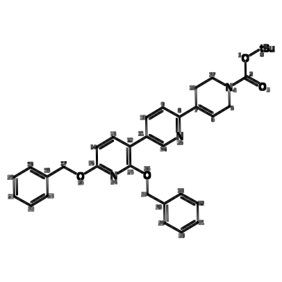 CC(C)(C)OC(=O)N1CC=C(c2ccc(-c3ccc(OCc4ccccc4)nc3OCc3ccccc3)cn2)CC1